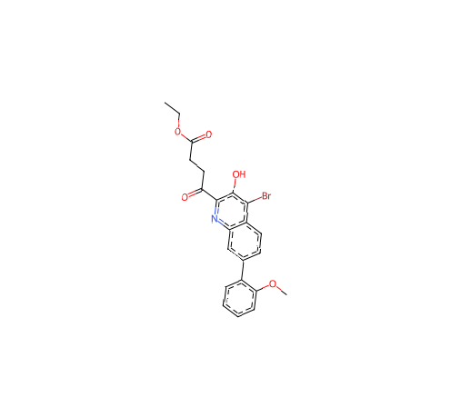 CCOC(=O)CCC(=O)c1nc2cc(-c3ccccc3OC)ccc2c(Br)c1O